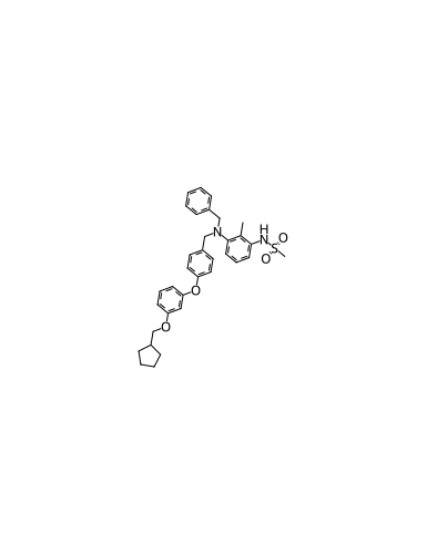 Cc1c(NS(C)(=O)=O)cccc1N(Cc1ccccc1)Cc1ccc(Oc2cccc(OCC3CCCC3)c2)cc1